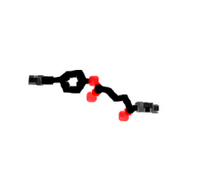 C#Cc1ccc(OC(=O)CCCC(=O)OC)cc1